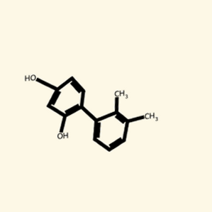 Cc1cccc(-c2ccc(O)cc2O)c1C